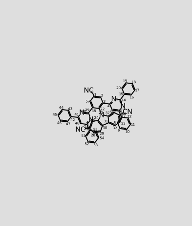 N#Cc1cc(-c2cc(-c3ccccc3)nc(-c3ccccc3)n2)c(-n2c3cc(C#N)ccc3c3ccc(C#N)cc32)c(-c2nc(-c3ccccc3)cc(-c3ccccc3)n2)c1